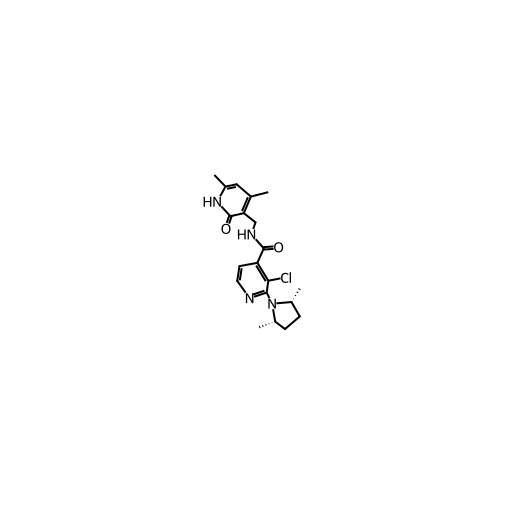 Cc1cc(C)c(CNC(=O)c2ccnc(N3[C@H](C)CC[C@@H]3C)c2Cl)c(=O)[nH]1